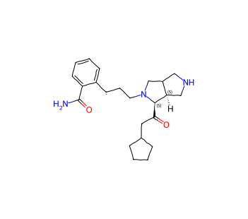 NC(=O)c1ccccc1[CH]CCN1CC2CNC[C@H]2[C@H]1C(=O)CC1CCCC1